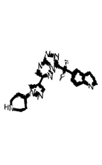 FC(F)(c1ccc2ncccc2c1)c1nnc2ncc(-c3cnn(C4CCNCC4)c3)nn12